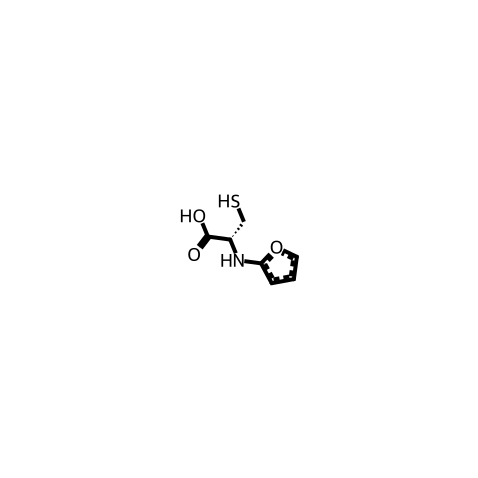 O=C(O)[C@H](CS)Nc1ccco1